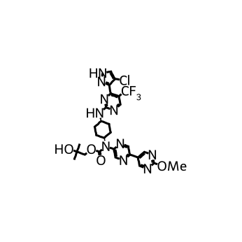 COc1ncc(-c2cnc(N(C(=O)OCC(C)(C)O)[C@H]3CC[C@H](Nc4ncc(C(F)(F)F)c(-c5n[nH]cc5Cl)n4)CC3)cn2)cn1